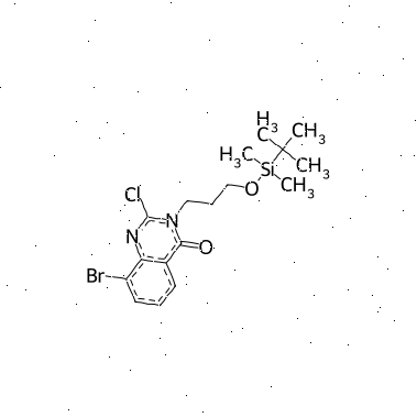 CC(C)(C)[Si](C)(C)OCCCn1c(Cl)nc2c(Br)cccc2c1=O